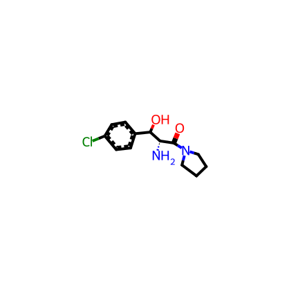 N[C@@H](C(=O)N1CCCC1)C(O)c1ccc(Cl)cc1